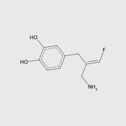 NC/C(=C/F)Cc1ccc(O)c(O)c1